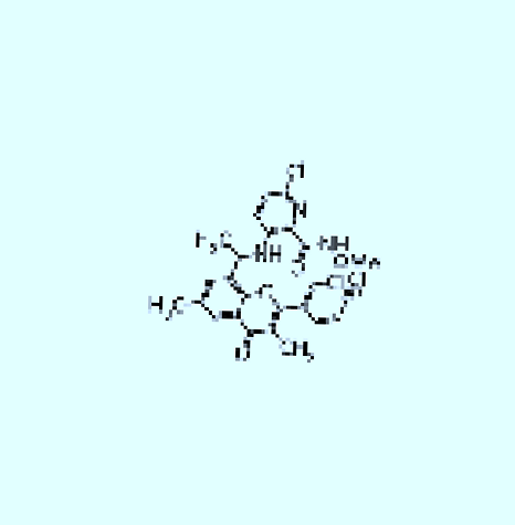 C#C/C=C\C(=C/C)c1oc2c(C(C)Nc3ccc(Cl)nc3C(=O)NOC)cc(C)cc2c(=O)c1C